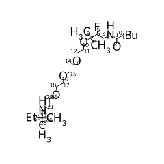 CCC(C)C(=O)NCC(F)C(C)(C)OCCOCCOCCOCCNC(C)(C)CC